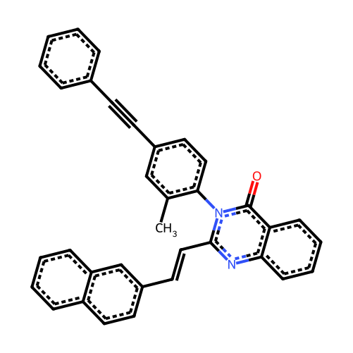 Cc1cc(C#Cc2ccccc2)ccc1-n1c(C=Cc2ccc3ccccc3c2)nc2ccccc2c1=O